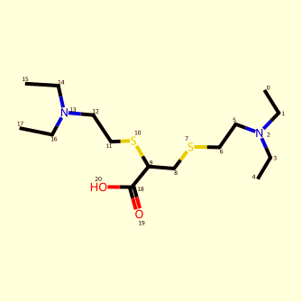 CCN(CC)CCSCC(SCCN(CC)CC)C(=O)O